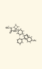 CC(=O)c1ccn2c(-c3ccccc3)c(-c3ccc(C4(NC(=O)OC(C)(C)C)CCC4)cc3)nc2c1